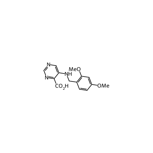 COc1ccc(CNc2cncnc2C(=O)O)c(OC)c1